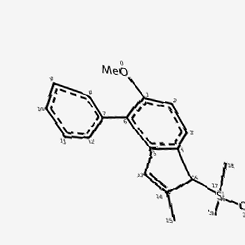 COc1ccc2c(c1-c1ccccc1)C=C(C)C2[Si](C)(C)Cl